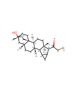 COC[C@]12CC[C@@](C)(O)C[C@H]1CC[C@@H]1[C@@H]2CC[C@]2(C)C(C(=O)CBr)C3CC3[C@@H]12